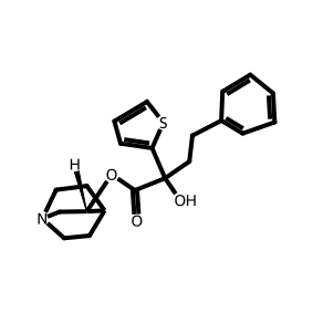 O=C(O[C@H]1CN2CCC1CC2)C(O)(CCc1ccccc1)c1cccs1